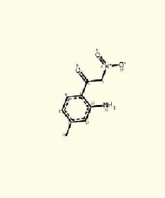 Cc1ccc(C(=O)C[N+](=O)[O-])c(N)c1